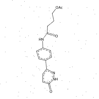 CC(=O)OCCCC(=O)Nc1ccc(-c2ccc(=O)[nH]n2)cc1